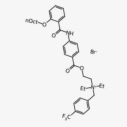 CCCCCCCCOc1ccccc1C(=O)Nc1ccc(C(=O)OCC[N+](CC)(CC)Cc2ccc(C(F)(F)F)cc2)cc1.[Br-]